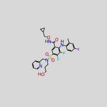 Cc1cc(I)ccc1Nc1c(C(=O)NOCC2CC2)cc(S(=O)(=O)N(CCCO)Cc2ccccn2)c(F)c1F